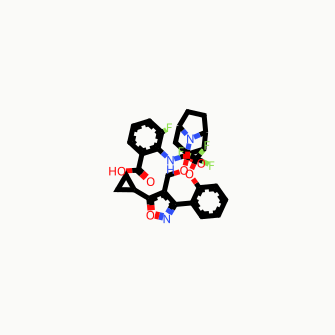 O=C(O)c1cccc(F)c1NC(=O)N1C2CCC1CC(OCc1c(-c3ccccc3OC(F)(F)F)noc1C1CC1)C2